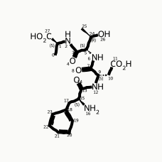 C[C@H](NC(=O)[C@@H](NC(=O)[C@H](CC(=O)O)NC(=O)[C@@H](N)Cc1ccccc1)[C@@H](C)O)C(=O)O